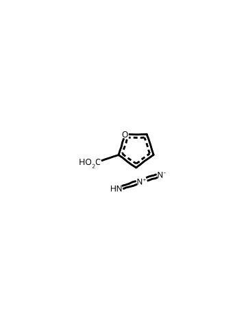 O=C(O)c1ccco1.[N-]=[N+]=N